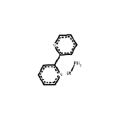 CCP.c1ccc(-c2ccccn2)nc1